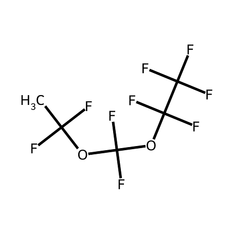 CC(F)(F)OC(F)(F)OC(F)(F)C(F)(F)F